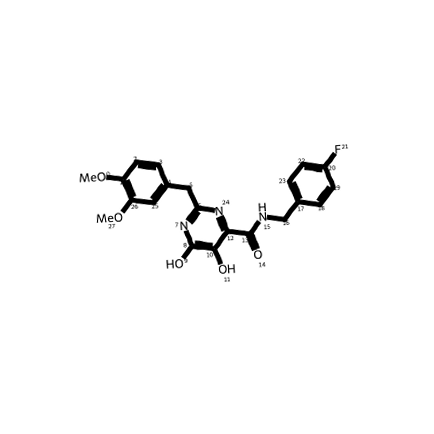 COc1ccc(Cc2nc(O)c(O)c(C(=O)NCc3ccc(F)cc3)n2)cc1OC